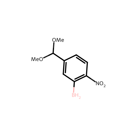 Bc1cc(C(OC)OC)ccc1[N+](=O)[O-]